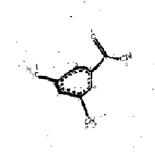 Cc1cc(C)cc(C(=O)C#N)c1